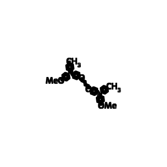 COc1ccc(N(c2ccc(C)cc2)c2ccc(OCCCCOc3ccc(N(c4ccc(C)cc4)c4ccc(OC)cc4)cc3)cc2)cc1